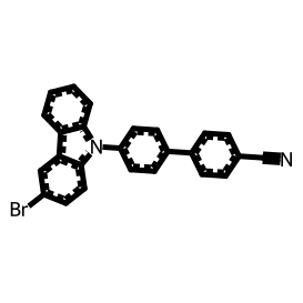 N#Cc1ccc(-c2ccc(-n3c4ccccc4c4cc(Br)ccc43)cc2)cc1